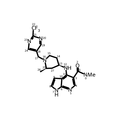 CNC(=O)c1cnc2[nH]ccc2c1N[C@@H]1CCN(Cc2cnc(C(F)(F)F)nc2)[C@H](C)C1